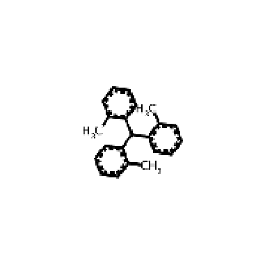 Cc1ccccc1C(c1ccccc1C)c1ccccc1C